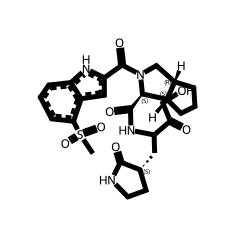 CS(=O)(=O)c1cccc2[nH]c(C(=O)N3C[C@@H]4CCC[C@@H]4[C@H]3C(=O)NC(C[C@@H]3CCNC3=O)C(=O)CO)cc12